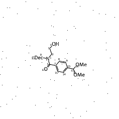 CCCCCCCCCCN(CCO)C(=O)c1ccc(C(OC)OC)cc1